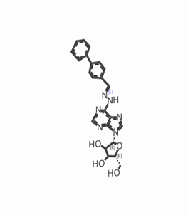 OC[C@H]1O[C@@H](n2cnc3c(N/N=C/c4ccc(-c5ccccc5)cc4)ncnc32)C(O)C1O